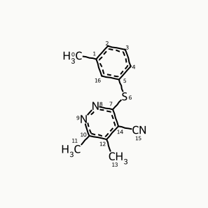 Cc1cccc(Sc2nnc(C)c(C)c2C#N)c1